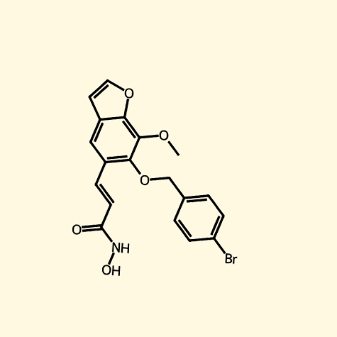 COc1c(OCc2ccc(Br)cc2)c(/C=C/C(=O)NO)cc2ccoc12